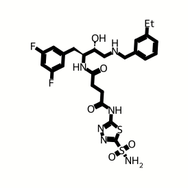 CCc1cccc(CNC[C@@H](O)[C@H](Cc2cc(F)cc(F)c2)NC(=O)CCC(=O)Nc2nnc(S(N)(=O)=O)s2)c1